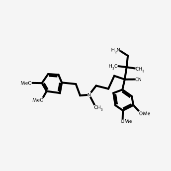 COc1ccc(CCN(C)CCCC(C#N)(c2ccc(OC)c(OC)c2)C(C)(C)CN)cc1OC